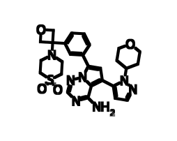 Nc1ncnn2c(-c3cccc(C4(N5CCS(=O)(=O)CC5)COC4)c3)cc(-c3ccnn3C3CCOCC3)c12